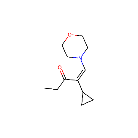 CCC(=O)C(=CN1CCOCC1)C1CC1